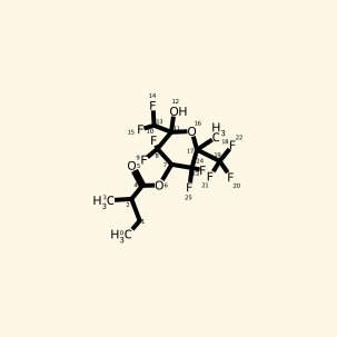 CCC(C)C(=O)OC1C(F)(F)C(O)(C(F)F)OC(C)(C(F)(F)F)C1(F)F